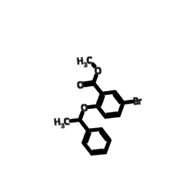 COC(=O)c1cc(Br)ccc1OC(C)c1ccccc1